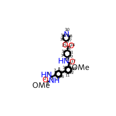 COC(=O)NC(=N)c1ccc(-c2ccc(OC)c(C(=O)NC3CCC(C(=O)OC4CCN(C)CC4)CC3)c2)cc1